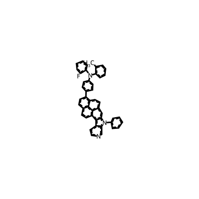 Cc1ccccc1N(c1ccc(-c2ccc3ccc4c5c(ccc2c35)cc2c4c3ccncc3n2-c2ccccc2)cc1)c1ccccc1F